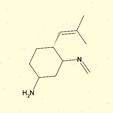 C=NC1CC(N)CC[C@@H]1C=C(C)C